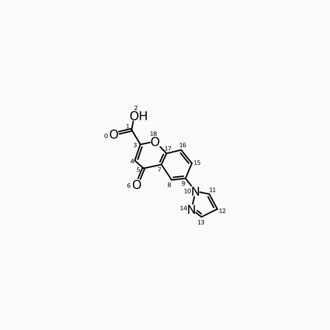 O=C(O)c1cc(=O)c2cc(-n3cccn3)ccc2o1